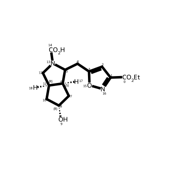 CCOC(=O)c1cc(CC2[C@H]3C[C@H](O)C[C@H]3CN2C(=O)O)on1